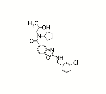 CC(O)CN(C(=O)c1ccc2oc(NCc3cccc(Cl)c3)nc2c1)C1CCCC1